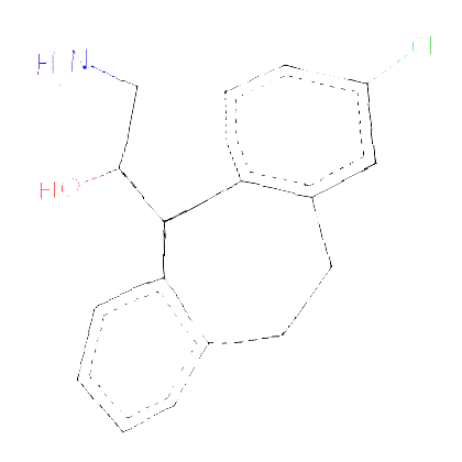 NCC(O)C1c2ccccc2CCc2cc(Cl)ccc21